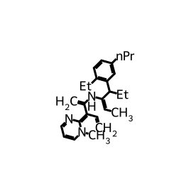 C=C/C(C(=C)N/C(=C/C)C(CC)c1cc(CCC)ccc1CC)=C1/N=CC=CN1C